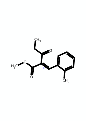 CCC(=O)/C(=C\c1ccccc1C)C(=O)OC